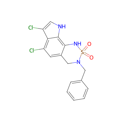 O=S1(=O)Nc2c(cc(Cl)c3c(Cl)c[nH]c23)CN1Cc1ccccc1